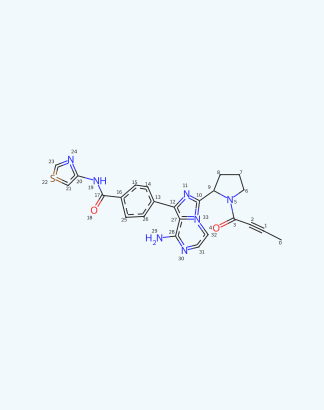 CC#CC(=O)N1CCCC1c1nc(-c2ccc(C(=O)Nc3cscn3)cc2)c2c(N)nccn12